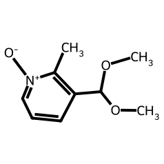 COC(OC)c1ccc[n+]([O-])c1C